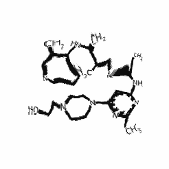 C=C(NC1=CC=CN=CC1C)/C(C)=C/N=C(\C)Nc1cc(N2CCN(CCO)CC2)nc(C)n1